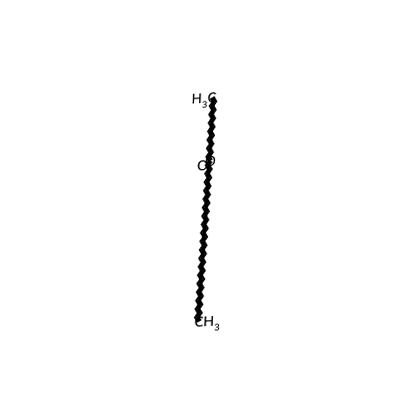 CCCCCCCCCCCCCCCCCCCCCCCCCCCCCCCCCCCCCC(=O)OCCCCCCCCCCCCCCC